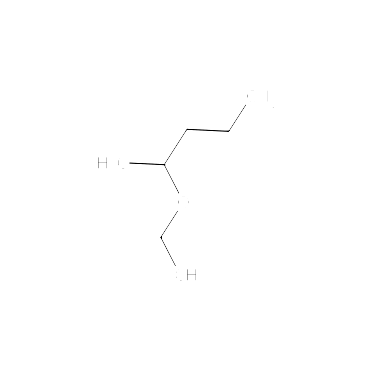 [CH2]C[CH]C(C)OCC